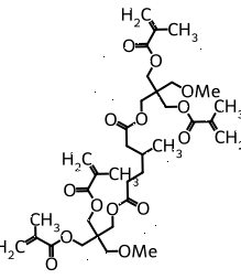 C=C(C)C(=O)OCC(COC)(COC(=O)CCC(C)CC(=O)OCC(COC)(COC(=O)C(=C)C)COC(=O)C(=C)C)COC(=O)C(=C)C